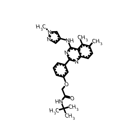 Cc1ccc2nc(-c3cccc(OCC(=O)NC(C)(C)C)c3)nc(Nc3cnn(C)c3)c2c1C